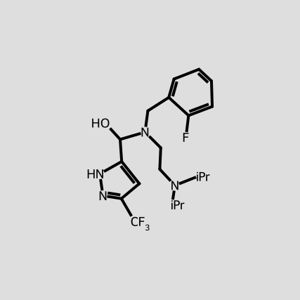 CC(C)N(CCN(Cc1ccccc1F)C(O)c1cc(C(F)(F)F)n[nH]1)C(C)C